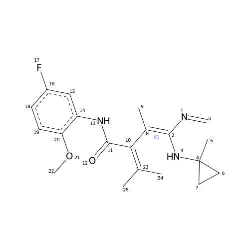 C=N/C(NC1(C)CC1)=C(\C)C(C(=O)Nc1cc(F)ccc1OC)=C(C)C